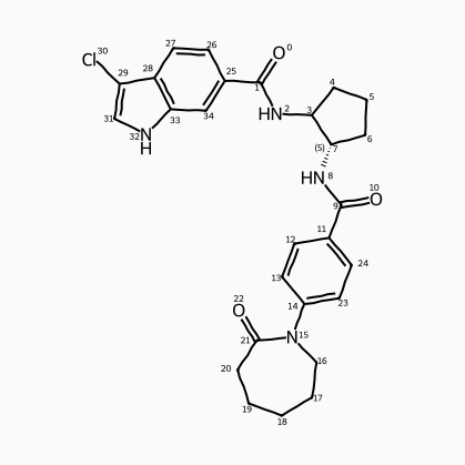 O=C(NC1CCC[C@@H]1NC(=O)c1ccc(N2CCCCCC2=O)cc1)c1ccc2c(Cl)c[nH]c2c1